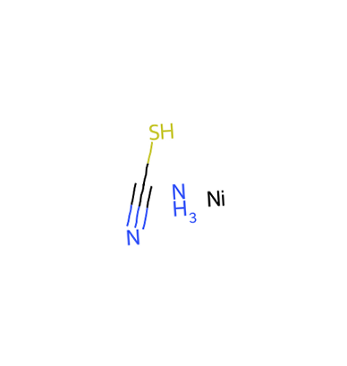 N.N#CS.[Ni]